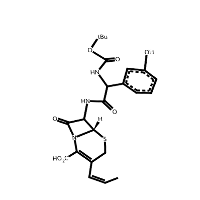 C/C=C\C1=C(C(=O)O)N2C(=O)C(NC(=O)C(NC(=O)OC(C)(C)C)c3cccc(O)c3)[C@@H]2SC1